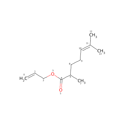 C=CCOC(=O)C(C)CCC=C(C)C